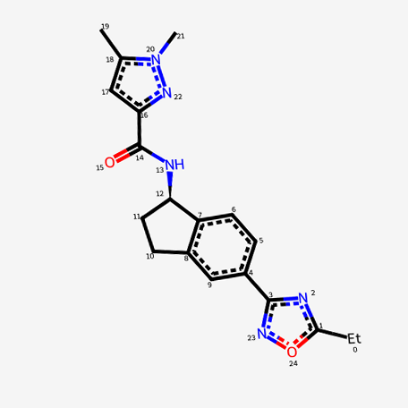 CCc1nc(-c2ccc3c(c2)CC[C@H]3NC(=O)c2cc(C)n(C)n2)no1